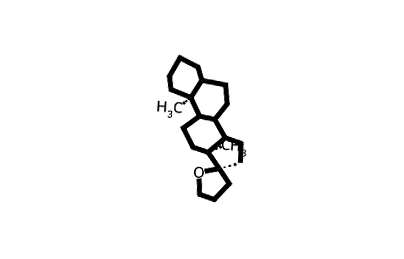 C[C@]12CCCCC1CCC1C2CC[C@@]2(C)C1CC[C@@]21CCCO1